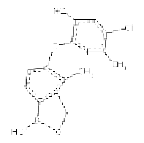 Cc1nc(Oc2ccc3c(c2C)COB3O)c(C#N)cc1Cl